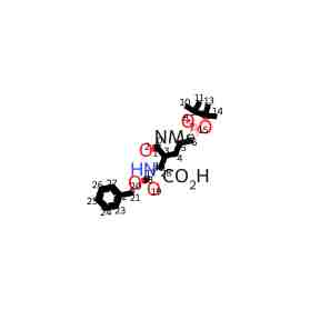 CNC(=O)C(CCCB1OC(C)(C)C(C)(C)O1)C(NC(=O)OCc1ccccc1)C(=O)O